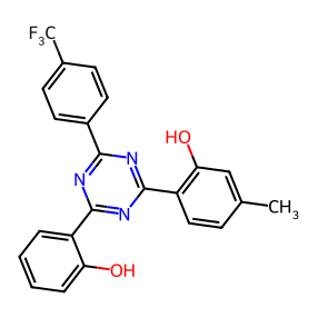 Cc1ccc(-c2nc(-c3ccc(C(F)(F)F)cc3)nc(-c3ccccc3O)n2)c(O)c1